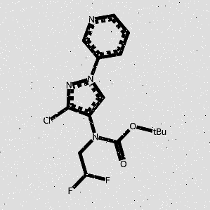 CC(C)(C)OC(=O)N(CC(F)F)c1cn(-c2cccnc2)nc1Cl